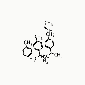 C=CC.Cc1ccc(C(C)C)cc1.Cc1ccc(C(C)C)cc1.Cc1ccccc1